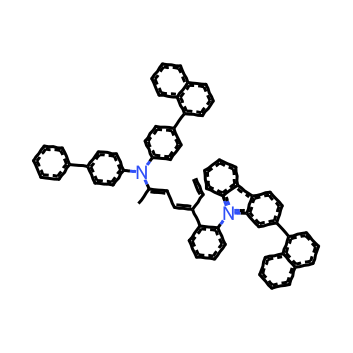 C=C/C(=C\C=C(/C)N(c1ccc(-c2ccccc2)cc1)c1ccc(-c2cccc3ccccc23)cc1)c1ccccc1-n1c2ccccc2c2ccc(-c3cccc4ccccc34)cc21